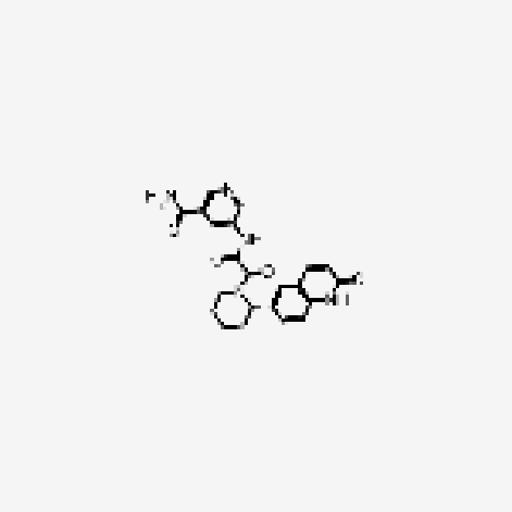 NC(=O)c1cncc(NC(=O)C(=O)N2CCCC[C@H]2c2ccc3[nH]c(=O)ccc3c2)c1